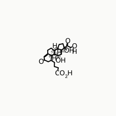 C[C@]12C[C@H](O)[C@H]3[C@@H](CCC4=CC(=O)CC(CCCC(=O)O)[C@@]43C)[C@@H]1CC[C@]2(O)C(=O)CO